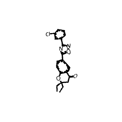 CCC1(CC)CC(=O)c2cc(-c3nc(-c4cccc(Cl)c4)no3)ccc2O1